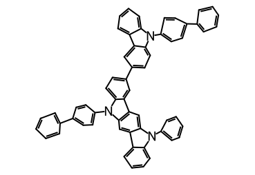 c1ccc(-c2ccc(-n3c4ccccc4c4cc(-c5ccc6c(c5)c5cc7c(cc5n6-c5ccc(-c6ccccc6)cc5)c5ccccc5n7-c5ccccc5)ccc43)cc2)cc1